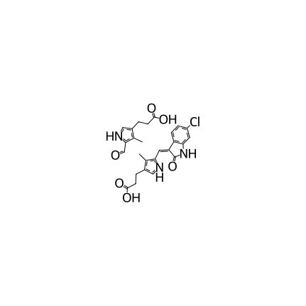 Cc1c(CCC(=O)O)c[nH]c1/C=C1\C(=O)Nc2cc(Cl)ccc21.Cc1c(CCC(=O)O)c[nH]c1C=O